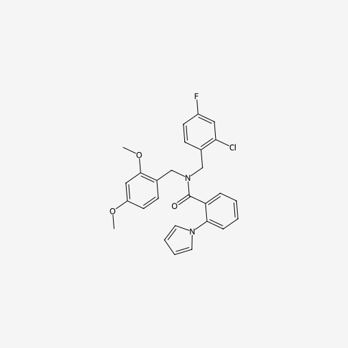 COc1ccc(CN(Cc2ccc(F)cc2Cl)C(=O)c2ccccc2-n2cccc2)c(OC)c1